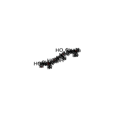 O=C(O)c1cc2c(-c3cccc(-c4nc5cc(/N=N/c6ccc(O)c7c(-c8ccc(-c9nc%10cc(/N=N/c%11c(O)cc(O)c%12ccccc%11%12)ccc%10n9Cc9ccccn9)nc8)ccc(O)c67)ccc5n4Cc4ccccn4)n3)cccc2c(/N=N/c2ccc3c(c2)nc(-c2ccccn2)n3Cc2ccccn2)c1O